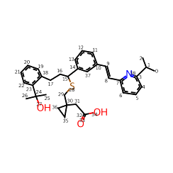 CC(C)c1cccc(C=Cc2cccc(C(CCc3ccccc3C(C)(C)O)SCC3(CC(=O)O)CC3)c2)n1